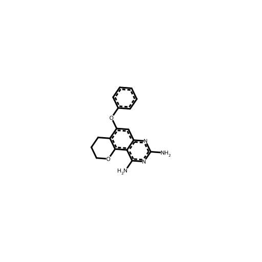 Nc1nc(N)c2c3c(c(Oc4ccccc4)cc2n1)CCCO3